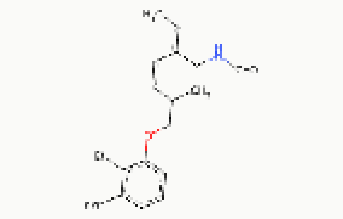 C/C=C(\C=C/C(C)COc1cccc(CCC)c1CC)CNC=O